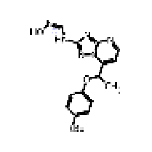 CC(Oc1ccc(C(C)(C)C)cc1)c1ccnc2nc(N/C=N\O)nn12